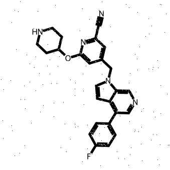 N#Cc1cc(Cn2ccc3c(-c4ccc(F)cc4)cncc32)cc(OC2CCNCC2)n1